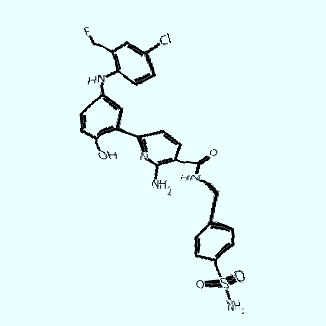 Nc1nc(-c2cc(Nc3ccc(Cl)cc3CF)ccc2O)ccc1C(=O)NCc1ccc(S(N)(=O)=O)cc1